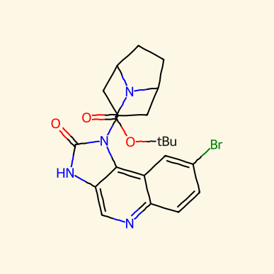 CC(C)(C)OC(=O)N1C2CCC1CC(n1c(=O)[nH]c3cnc4ccc(Br)cc4c31)C2